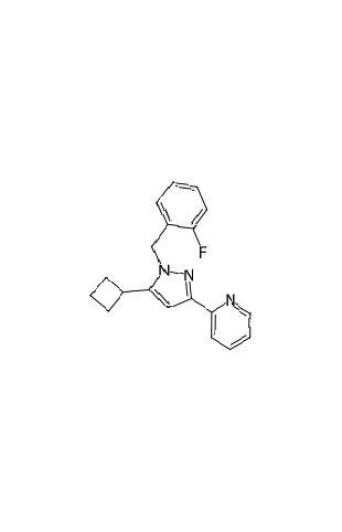 Fc1ccccc1Cn1nc(-c2ccccn2)cc1C1CCC1